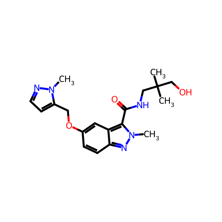 Cn1nccc1COc1ccc2nn(C)c(C(=O)NCC(C)(C)CO)c2c1